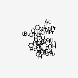 CCCN(CCC)[C@@H](CCC(C)=O)C(=O)O[C@@H](C(=O)O[C@H]1C[C@@]2(O)[C@@H](OC(=O)c3ccccc3)[C@@H]3[C@]4(OC(C)=O)CO[C@@H]4C[C@H](O)[C@@]3(C)C(=O)[C@H](O)C(=C1C)C2(C)C)[C@@H](NC(=O)OC(C)(C)C)c1ccccc1